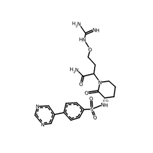 N=C(N)NOCCC(C(N)=O)N1CCC[C@H](NS(=O)(=O)c2ccc(-c3cncnc3)cc2)C1=O